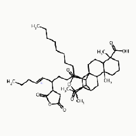 CCC/C=C/C(CCC(CCCCCCCC)C1C(C(C)C)C2CC3C4(C)CCCC(C)(C(=O)O)C4CCC13C1C(=O)OC(=O)C21)C1CC(=O)OC1=O